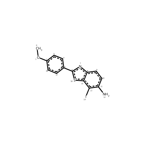 COc1ccc(-c2nc3ccc(N)c(I)c3s2)cc1